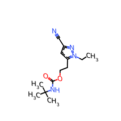 CCn1nc(C#N)cc1CCOC(=O)NC(C)(C)C